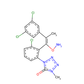 C/C(=C(\ON)c1c(Cl)cccc1-n1nnn(C)c1=O)c1cc(Cl)cc(Cl)c1